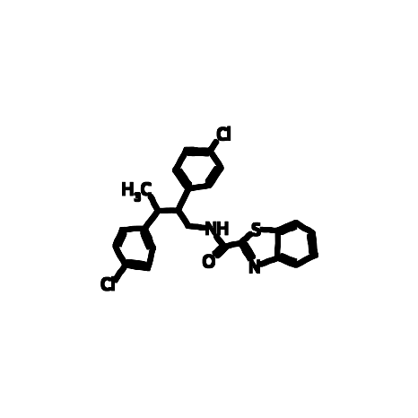 CC(c1ccc(Cl)cc1)C(CNC(=O)c1nc2ccccc2s1)c1ccc(Cl)cc1